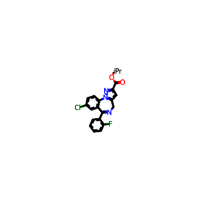 CC(C)OC(=O)c1cc2n(n1)-c1ccc(Cl)cc1C(c1ccccc1F)=NC2